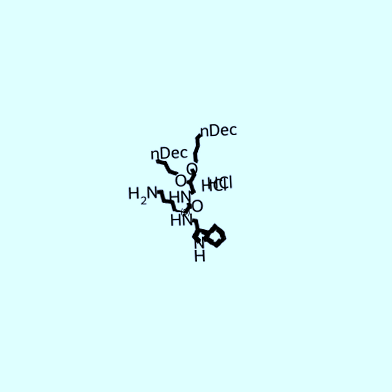 CCCCCCCCCCCCCCOCC(CNC(=O)[C@H](CCCCN)NCc1c[nH]c2ccccc12)OCCCCCCCCCCCCCC.Cl.Cl